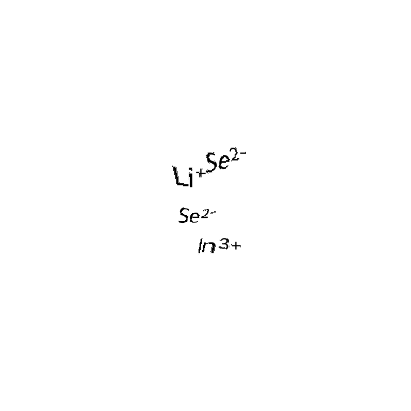 [In+3].[Li+].[Se-2].[Se-2]